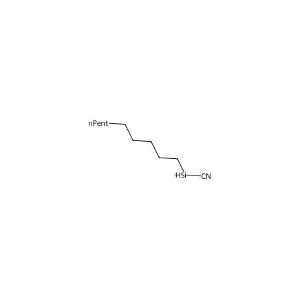 CCCCCCCCCC[SiH]C#N